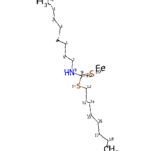 CCCCCCCCNC(=S)SCCCCCCCC.[Fe]